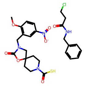 COc1ccc([N+](=O)[O-])cc1CN1CC2(CCN(C(=O)S)CC2)OC1=O.O=C(CCCl)NCc1ccccc1